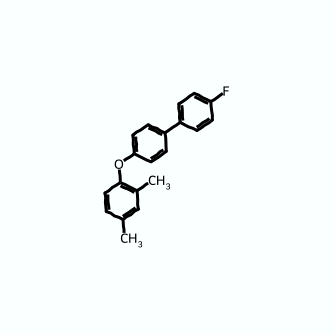 Cc1ccc(Oc2ccc(-c3ccc(F)cc3)cc2)c(C)c1